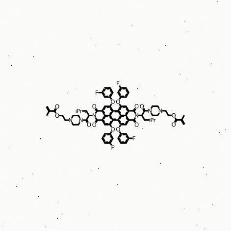 C=C(C)C(=O)OCCN1CCN(C(=O)C(CC(C)C)N2C(=O)c3cc(Oc4cccc(F)c4)c4c5c(Oc6cccc(F)c6)cc6c7c(cc(Oc8cccc(F)c8)c(c8c(Oc9cccc(F)c9)cc(c3c48)C2=O)c75)C(=O)N(C(CC(C)C)C(=O)N2CCN(CCOC(=O)C(=C)C)CC2)C6=O)CC1